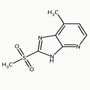 Cc1ccnc2[nH]c(S(C)(=O)=O)nc12